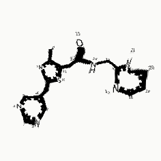 Cc1nc(-c2cncnc2)sc1C(=O)NCc1ncccn1